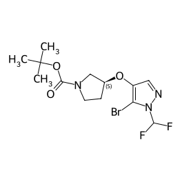 CC(C)(C)OC(=O)N1CC[C@H](Oc2cnn(C(F)F)c2Br)C1